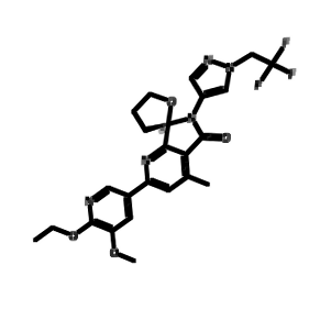 CCOc1ncc(-c2cc(C)c3c(n2)[C@@]2(CCCO2)N(c2cnn(CC(F)(F)F)c2)C3=O)cc1OC